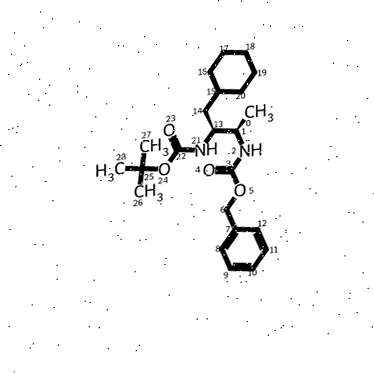 C[C@@H](NC(=O)OCc1ccccc1)[C@H](CC1CCCCC1)NC(=O)OC(C)(C)C